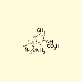 C[C@@H]1C[C@@H](NC(=O)O)C[C@H](c2ccncc2N)C1